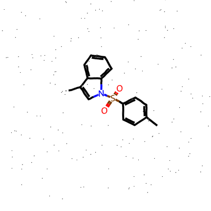 [CH2]c1cn(S(=O)(=O)c2ccc(C)cc2)c2ccccc12